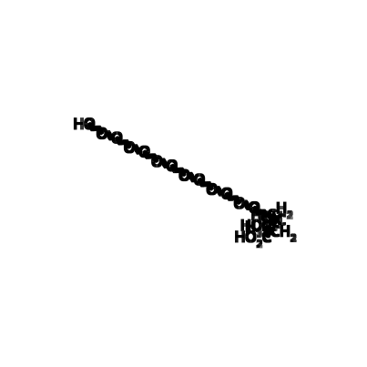 C=C(C)C(=O)O.C=C(C)C(=O)O.OCCOCCOCCOCCOCCOCCOCCOCCOCCOCCOCCOCCOCCO